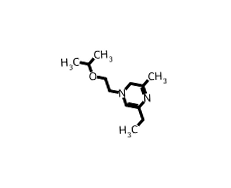 CCC1=CN(CCOC(C)C)CC(C)=N1